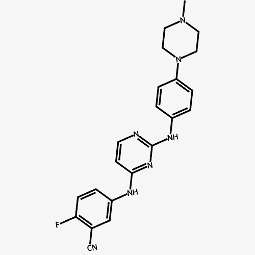 CN1CCN(c2ccc(Nc3nccc(Nc4ccc(F)c(C#N)c4)n3)cc2)CC1